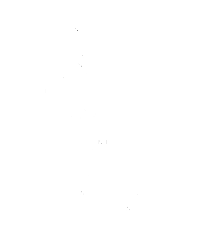 CN1c2ccccc2C(C)(C)C1/C=C/C=C1/N(CCCCC(=O)NCCC2C/C=C/CC/C=C/C(=N\OCC(=O)N3CCCCC3)Cc3c(Cl)c(O)cc(O)c3C(=O)O2)c2ccccc2C1(C)C